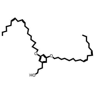 CCCCC/C=C\C/C=C\CCCCCCCCOc1cc(CCCO)cc(OCCCCCCCC/C=C\C/C=C\CCCCC)c1